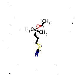 CCO[Si](C)(C)CCCSC#N